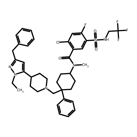 CCn1nc(Cc2ccccc2)cc1C1CCN(CC2(c3ccccc3)CCC(N(C)C(=O)c3cc(S(=O)(=O)NCC(F)(F)F)c(F)cc3Cl)CC2)CC1